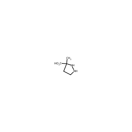 CC1(C(=O)O)CCNN1